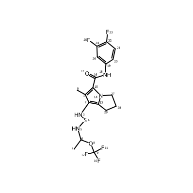 Cc1c(NSNC(C)OC(F)(F)F)c2n(c1C(=O)Nc1ccc(F)c(F)c1)CCC2